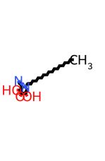 CCCCCCCCCCCCCCCCC=Cn1cc(O)c(=O)c(O)c1C#N